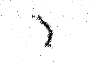 C=CC(=O)OCCCCOc1ccc(C(=O)Cc2ccc(C(=O)OCCCCCOC(=O)c3ccc(OC(=O)c4ccc(OCCCCOC(=O)C=C)cc4)cc3)cc2)cc1